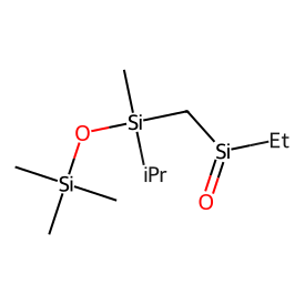 CC[Si](=O)C[Si](C)(O[Si](C)(C)C)C(C)C